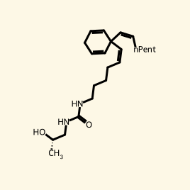 CCCCC/C=C\C1(/C=C\CCCCNC(=O)NC[C@H](C)O)C=CCC=C1